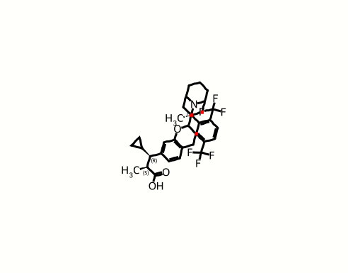 C[C@H](C(=O)O)[C@H](c1ccc2c(c1)OC(C1CC3CCCC(C1)N3[C@@H](C)c1cc(C(F)(F)F)ccc1C(F)(F)F)CC2)C1CC1